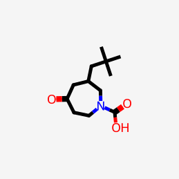 CC(C)(C)CC1CC(=O)CCN(C(=O)O)C1